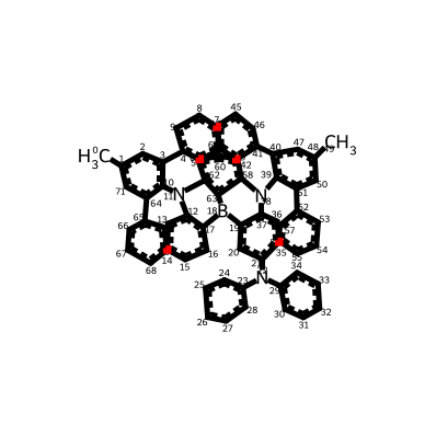 Cc1cc(-c2ccccc2)c(N2c3ccccc3B3c4cc(N(c5ccccc5)c5ccccc5)ccc4N(c4c(-c5ccccc5)cc(C)cc4-c4ccccc4)c4cccc2c43)c(-c2ccccc2)c1